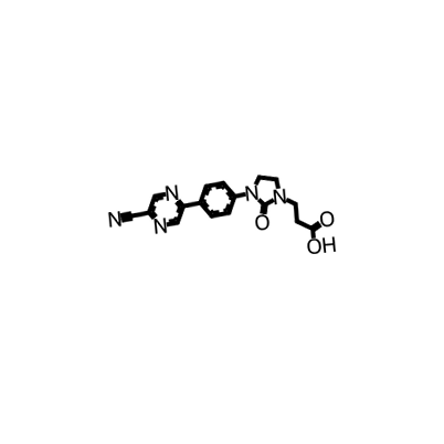 N#Cc1cnc(-c2ccc(N3CCN(CCC(=O)O)C3=O)cc2)cn1